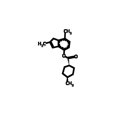 CC1=Cc2c(OC(=O)[C@H]3CC[C@H](C)CC3)ccc(C)c2C1